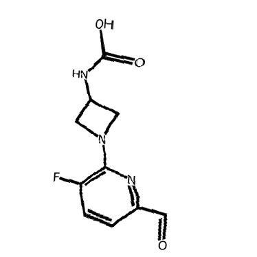 O=Cc1ccc(F)c(N2CC(NC(=O)O)C2)n1